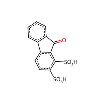 O=C1c2ccccc2-c2ccc(S(=O)(=O)O)c(S(=O)(=O)O)c21